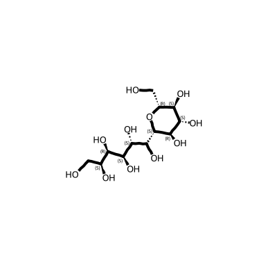 OC[C@H](O)[C@@H](O)[C@H](O)[C@H](O)C(O)[C@@H]1O[C@H](CO)[C@@H](O)[C@H](O)[C@H]1O